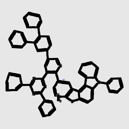 C=C/C(=C\c1c(C)sc2ccc3c(c4ccccc4n3-c3ccccc3)c12)c1ncc(-c2ccc(-c3ccccc3)c(-c3ccccc3)c2)cc1-c1nc(-c2ccccc2)nc(-c2ccccc2)n1